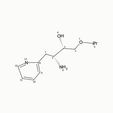 CC(C)OC[C@@H](O)[C@H](N)Cc1ccccn1